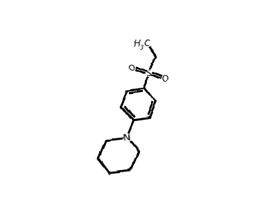 CCS(=O)(=O)c1ccc(N2CCCCC2)cc1